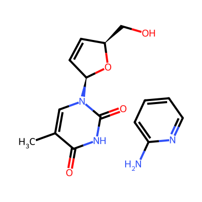 Cc1cn([C@H]2C=C[C@@H](CO)O2)c(=O)[nH]c1=O.Nc1ccccn1